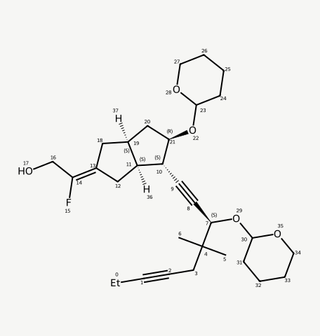 CCC#CCC(C)(C)[C@@H](C#C[C@@H]1[C@H]2CC(=C(F)CO)C[C@H]2C[C@H]1OC1CCCCO1)OC1CCCCO1